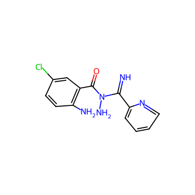 N=C(c1ccccn1)N(N)C(=O)c1cc(Cl)ccc1N